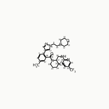 Cc1ccc(-c2cnn(CCN3CCOCC3)c2)c(C(=O)N2CCCC(C)C2CNc2ccc(C(F)(F)F)cn2)c1